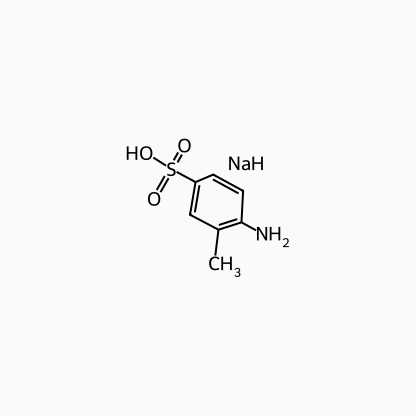 Cc1cc(S(=O)(=O)O)ccc1N.[NaH]